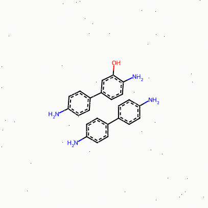 Nc1ccc(-c2ccc(N)c(O)c2)cc1.Nc1ccc(-c2ccc(N)cc2)cc1